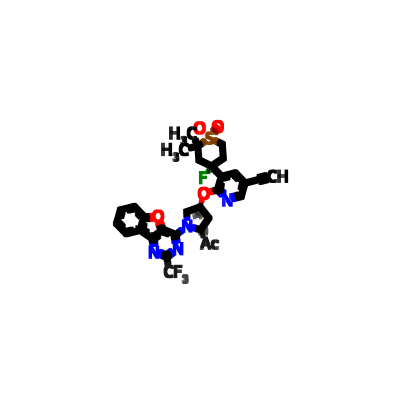 C#Cc1cnc(O[C@H]2C[C@@H](C(C)=O)N(c3nc(C(F)(F)F)nc4c3oc3ccccc34)C2)c([C@]2(F)CCS(=O)(=O)C(C)(C)C2)c1